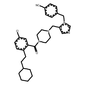 N#Cc1ccc(Cn2cncc2CN2CCN(C(=O)c3cc(Cl)ccc3CCC3CCCCC3)CC2)cc1